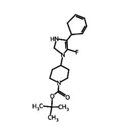 CC(C)(C)OC(=O)N1CCC(N2CNC(C3C=CC=CC3)=C2F)CC1